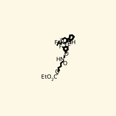 CCOC(=O)COCCCCC(=O)NCCOc1cc(F)c([C@@H]2c3[nH]c4ccccc4c3C[C@@H](C)N2CC(C)(C)F)c(F)c1